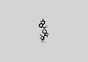 Cc1ccc2c(C(=O)N3CCc4c(nn(C)c4-c4cc(C(F)(F)F)nn4C)C3)cccc2n1